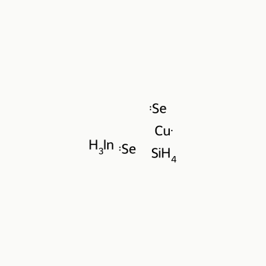 [Cu].[InH3].[Se].[Se].[SiH4]